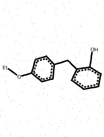 CCOc1ccc(Cc2[c]cccc2O)cc1